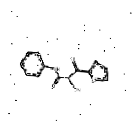 N#CC(C(=O)Nc1ccccc1)C(=O)c1cccs1